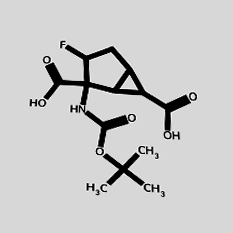 CC(C)(C)OC(=O)NC1(C(=O)O)C(F)CC2C(C(=O)O)C21